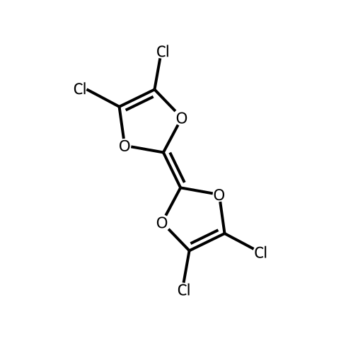 ClC1=C(Cl)OC(=C2OC(Cl)=C(Cl)O2)O1